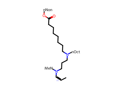 C/C=C\N(CCCN(CCCCCCCC)CCCCCCCC(=O)OCCCCCCCCC)NC